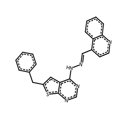 C(=NNc1ncnc2sc(Cc3ccccc3)cc12)c1ccnc2ccccc12